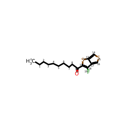 CCCCCCCCCC(=O)c1sc2cscc2c1F